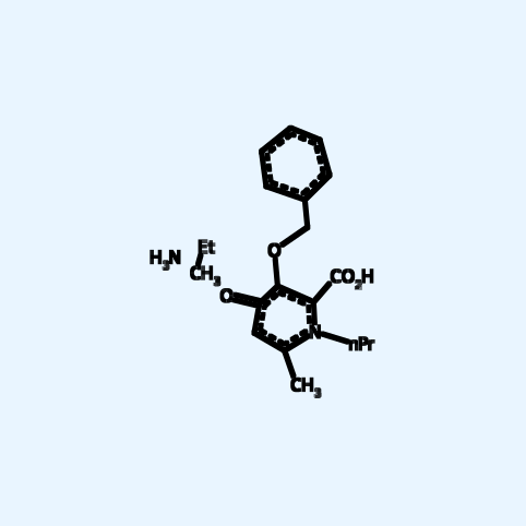 CCC.CCCn1c(C)cc(=O)c(OCc2ccccc2)c1C(=O)O.N